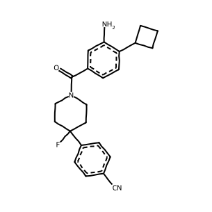 N#Cc1ccc(C2(F)CCN(C(=O)c3ccc(C4CCC4)c(N)c3)CC2)cc1